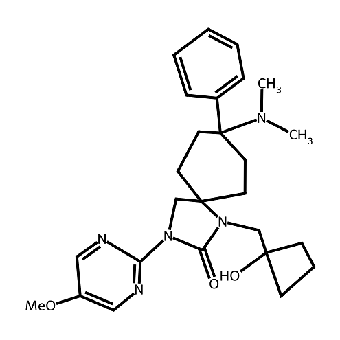 COc1cnc(N2CC3(CCC(c4ccccc4)(N(C)C)CC3)N(CC3(O)CCC3)C2=O)nc1